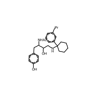 CC(=O)NC(Cc1ccc(O)cc1)C(O)CNC1(c2cccc(C(C)C)c2)CCCCC1